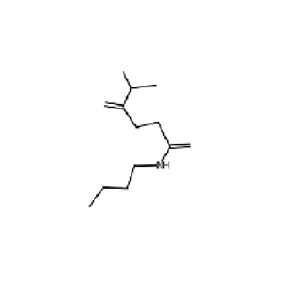 C=C(CCC(=C)C(C)C)NCCCC